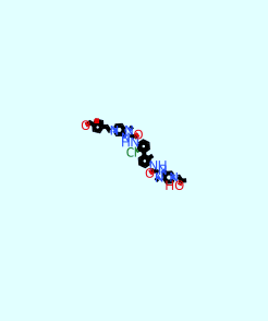 Cc1c(NC(=O)c2nc3c(n2C)CCN(CC(C)O)C3)cccc1-c1cccc(NC(=O)c2nc3c(n2C)CCN(CCC24CCC(C=O)(CC2)C4)C3)c1Cl